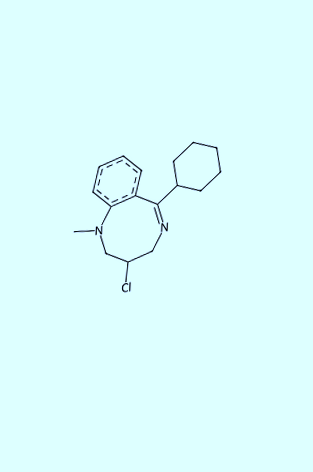 CN1CC(Cl)CN=C(C2CCCCC2)c2ccccc21